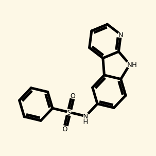 O=S(=O)(Nc1ccc2[nH]c3ncccc3c2c1)c1ccccc1